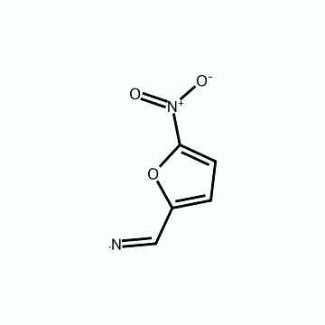 [N]=Cc1ccc([N+](=O)[O-])o1